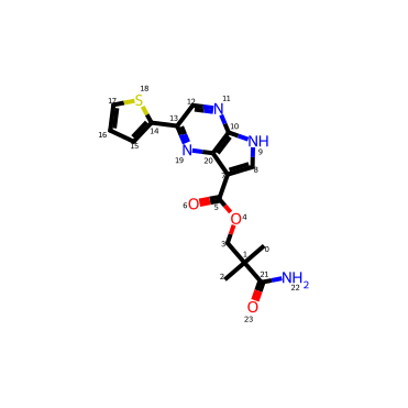 CC(C)(COC(=O)c1c[nH]c2ncc(-c3cccs3)nc12)C(N)=O